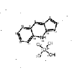 [O-][Cl+3]([O-])([O-])O.c1cc2cc3ccccc3[nH]c-2c1